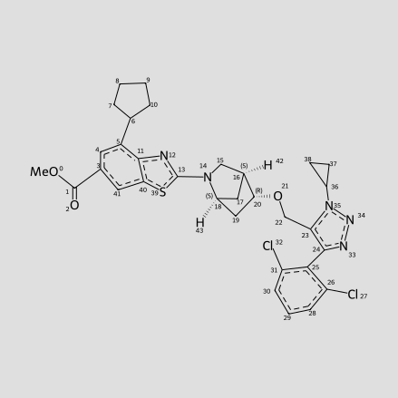 COC(=O)c1cc(C2CCCC2)c2nc(N3C[C@@H]4C[C@H]3C[C@H]4OCc3c(-c4c(Cl)cccc4Cl)nnn3C3CC3)sc2c1